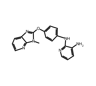 Cn1c(Oc2ccc(Nc3ncccc3N)cc2)nc2cccnc21